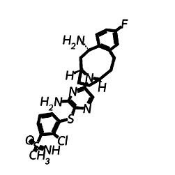 CS(=N)(=O)c1cccc(Sc2ncc(N3[C@@H]4CCc5cc(F)ccc5[C@@H](N)C[C@H]3CC4)nc2N)c1Cl